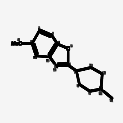 COc1ccc2oc(C3CCN(C)CC3)nc2c1